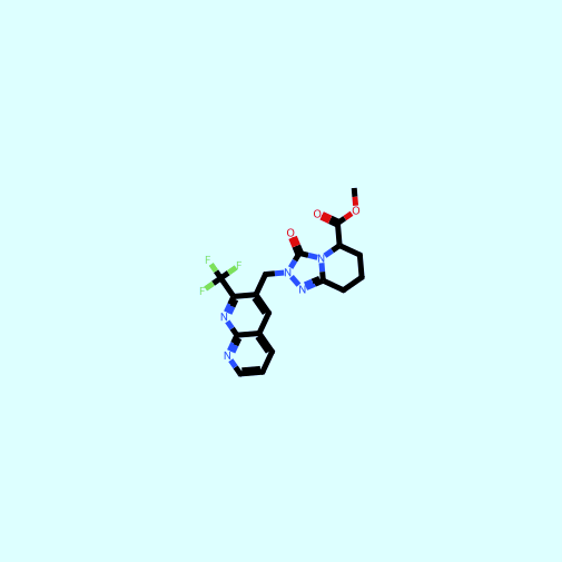 COC(=O)C1CCCc2nn(Cc3cc4cccnc4nc3C(F)(F)F)c(=O)n21